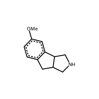 COc1ccc2c(c1)C1CNCC1C2